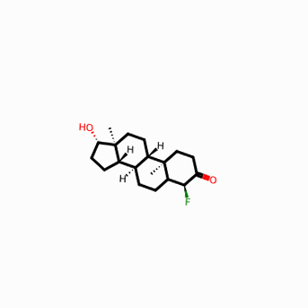 C[C@]12CC[C@H]3[C@@H](CCC4[C@H](F)C(=O)CC[C@@]43C)[C@@H]1CC[C@@H]2O